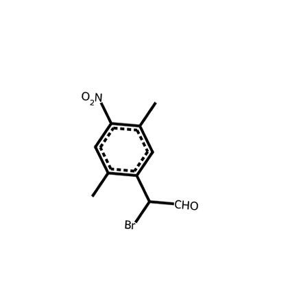 Cc1cc([N+](=O)[O-])c(C)cc1C(Br)C=O